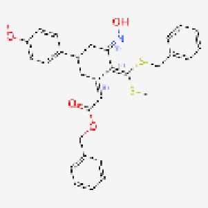 COc1ccc(C2CC(=C\C(=O)OCc3ccccc3)/C(=C(\SC)SCc3ccccc3)C(=N/O)/C2)cc1